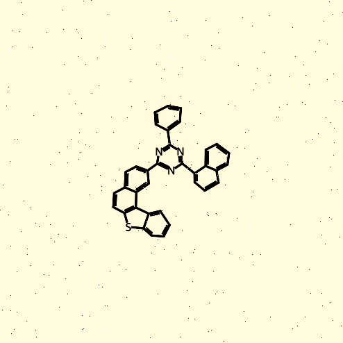 c1ccc(-c2nc(-c3ccc4ccc5sc6ccccc6c5c4c3)nc(-c3cccc4ccccc34)n2)cc1